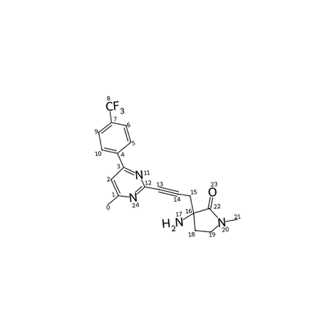 Cc1cc(-c2ccc(C(F)(F)F)cc2)nc(C#CCC2(N)CCN(C)C2=O)n1